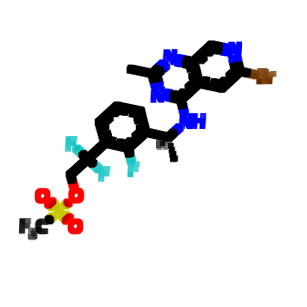 Cc1nc(N[C@H](C)c2cccc(C(F)(F)COS(=O)(=O)C(F)(F)F)c2F)c2cc(Br)ncc2n1